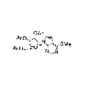 CSc1ncnc2c1ncn2[C@@H]1O[C@H](COC(C)=O)C(OC(C)=O)C1OC(C)=O